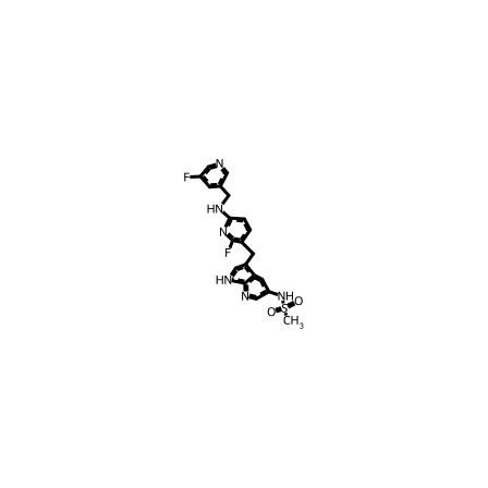 CS(=O)(=O)Nc1cnc2[nH]cc(Cc3ccc(NCc4cncc(F)c4)nc3F)c2c1